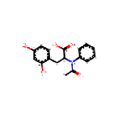 CC(=O)N(c1ccccc1)C(Cc1ccc(O)cc1O)C(=O)O